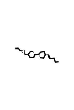 C=CCOC[C@H]1CC[C@H]([C@H]2CC[C@H](C=CCCC)CC2)CC1